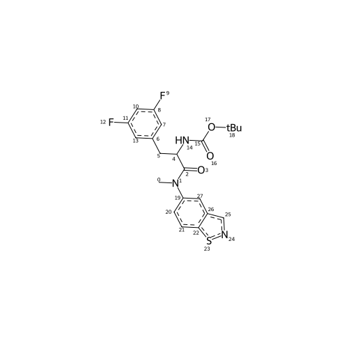 CN(C(=O)C(Cc1cc(F)cc(F)c1)NC(=O)OC(C)(C)C)c1ccc2sncc2c1